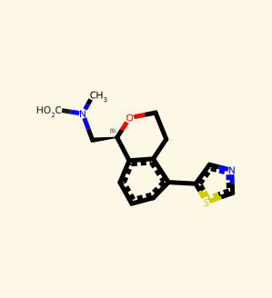 CN(C[C@H]1OCCc2c(-c3cncs3)cccc21)C(=O)O